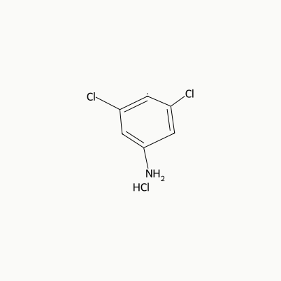 Cl.Nc1cc(Cl)[c]c(Cl)c1